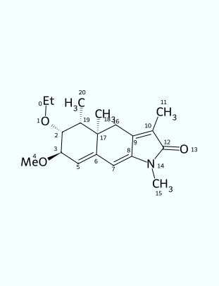 CCO[C@H]1[C@H](OC)C=C2C=C3C(=C(C)C(=O)N3C)C[C@]2(C)[C@H]1C